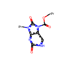 CCCOC(=O)n1c(=O)n(C(C)C)c2nc(=O)[nH]cc21